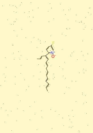 CC=CC=CC=CCC=CC=C(C=CC)c1ccc(F)c[n+]1[O-]